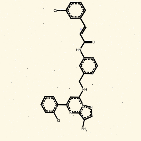 Bc1cnn2c(NCc3cccc(NC(=O)/C=C/c4cccc(Cl)c4)c3)cc(-c3ccccc3Cl)nc12